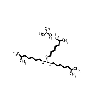 CC(C)CCCCCOP(OCCCCCC(C)C)OCCCCCC(C)C.OP(O)O